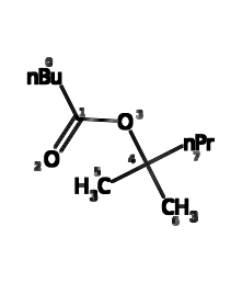 CCCCC(=O)OC(C)(C)CCC